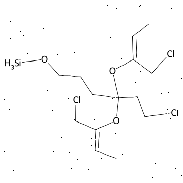 CC=C(CCl)OC(CCCl)(CCCO[SiH3])OC(=CC)CCl